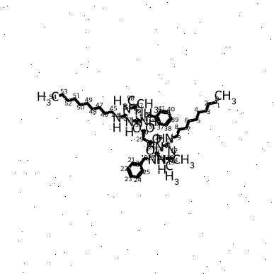 CCCCCCCCCCNC1=NC(C)(C)NC(NCc2ccccc2)(OC(=O)CC(=O)OC2(NCc3ccccc3)NC(NCCCCCCCCCC)=NC(C)(C)N2)N1